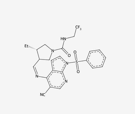 CC[C@@H]1CN(C(=O)NCC(F)(F)F)CC1/C=N\c1c(C#N)cnc2c1ccn2S(=O)(=O)c1ccccc1